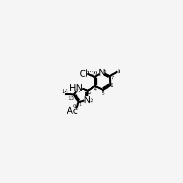 CC(=O)c1nc(-c2ccc(C)nc2Cl)[nH]c1C